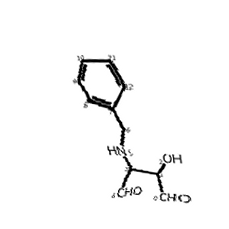 O=CC(O)C(C=O)NCc1ccccc1